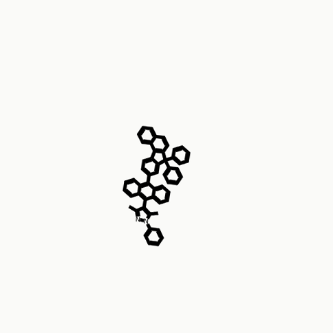 Cc1nn(-c2ccccc2)c(C)c1-c1c2ccccc2c(-c2ccc3c(c2)C(c2ccccc2)(c2ccccc2)c2ccc4ccccc4c2-3)c2ccccc12